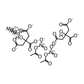 CC(=O)O[N+](=O)[O-].CC(=O)O[N+](=O)[O-].O=C([O-])CC(O)(CC(=O)[O-])C(=O)[O-].O=C([O-])CC(O)(CC(=O)[O-])C(=O)[O-].[Mg+2].[Mg+2].[Mg+2]